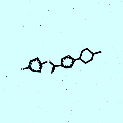 CCc1ccc(OC(=O)c2ccc(C3CCC(C)CC3)cc2)cc1